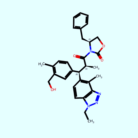 CCn1nnc2c(C)c([C@@H](c3ccc(C)c(CO)c3)[C@H](C)C(=O)N3C(=O)OC[C@@H]3Cc3ccccc3)ccc21